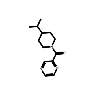 CC(C)C1CCN(C(=O)c2cnccn2)CC1